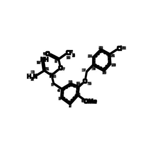 COc1ccc(CN(OC(=O)C(F)(F)F)C(=N)N)cc1OCc1ccc(Cl)cc1